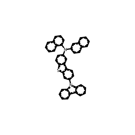 c1ccc2cc(N(c3ccc4sc5cc(-n6c7ccccc7c7ccccc76)ccc5c4c3)c3cccc4ccccc34)ccc2c1